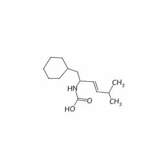 CC(C)C=CC(CC1CCCCC1)NC(=O)O